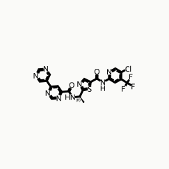 C[C@@H](NC(=O)c1cc(-c2cncnc2)ncn1)c1ncc(C(=O)Nc2cc(C(F)(F)F)c(Cl)cn2)s1